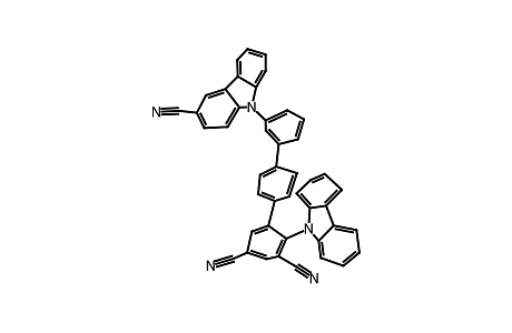 N#Cc1cc(C#N)c(-n2c3ccccc3c3ccccc32)c(-c2ccc(-c3cccc(-n4c5ccccc5c5cc(C#N)ccc54)c3)cc2)c1